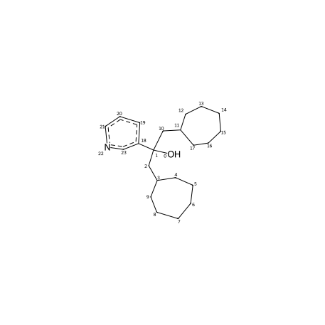 OC(CC1CCCCCC1)(CC1CCCCCC1)c1cccnc1